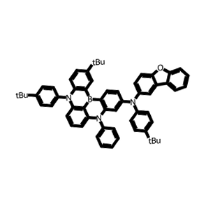 CC(C)(C)c1ccc(N(c2ccc3c(c2)N(c2ccccc2)c2cccc4c2B3c2cc(C(C)(C)C)ccc2N4c2ccc(C(C)(C)C)cc2)c2ccc3oc4ccccc4c3c2)cc1